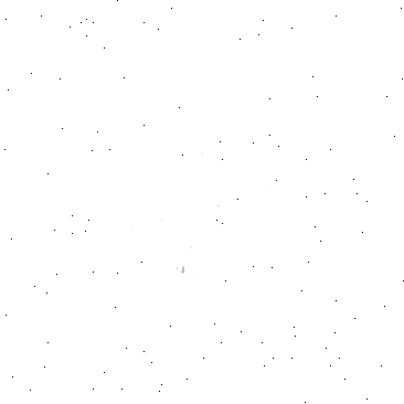 N[C@@H](CS)C(=O)O.O=C(O)C(O)CS